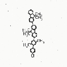 Cc1cc(-c2ccc3c(c2)C(C)(C)c2cc(-c4ccc5c(c4)C(C)(C)c4ccccc4-5)ccc2-3)c(C)cc1-c1ccc(Cl)cc1